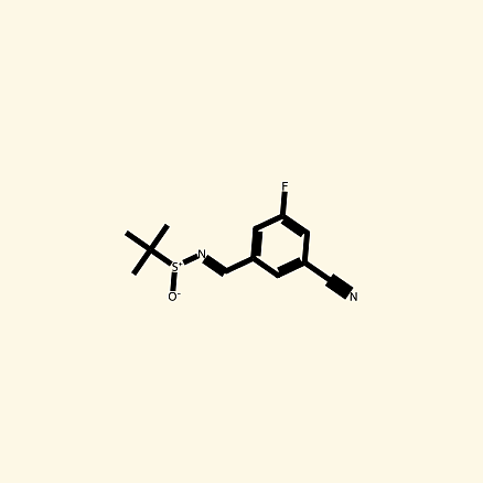 CC(C)(C)[S+]([O-])N=Cc1cc(F)cc(C#N)c1